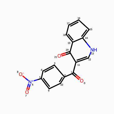 O=C(c1ccc([N+](=O)[O-])cc1)c1c[nH]c2ccccc2c1=O